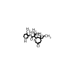 CCCC1(CC)C/C=C(Cl)\C=N/C(C(C(=O)NC2=C(C)CCNC2)C(N)N)C1